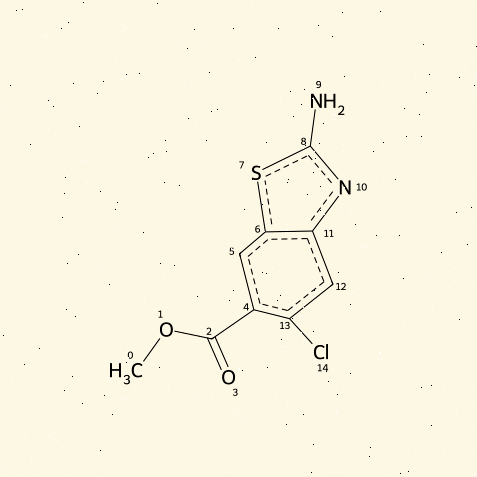 COC(=O)c1cc2sc(N)nc2cc1Cl